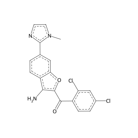 Cn1ccnc1-c1ccc2c(N)c(C(=O)c3ccc(Cl)cc3Cl)oc2c1